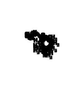 CC[C@H]1OC(=O)[C@@](C)(F)C(=O)[C@H](C)[C@@H](O[C@@H]2O[C@H](C)CC(N)C2O)[C@](C)(OC)C[C@@H](C)C(=O)[C@H](C)[C@H]2N(CC#CCn3cc(-c4cc(OC)ccn4)nn3)C(=O)O[C@]12C